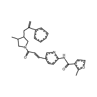 C=C(CC1CN(C(=O)/C=C/c2ccc(NC(=O)c3ccoc3C)nc2)CC1C)c1ccccc1